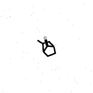 CC1CC2CCC1C2=O